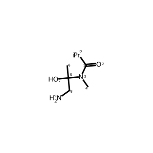 CC(C)C(=O)N(C)C(C)(O)CN